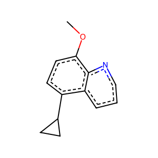 COc1ccc(C2CC2)c2cccnc12